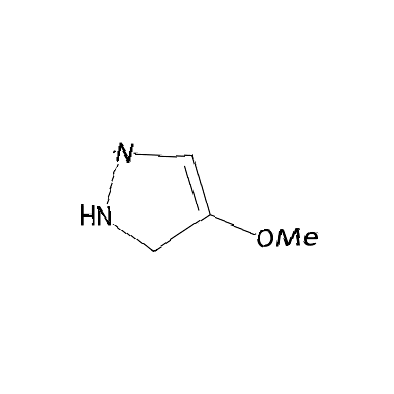 COC1=C[N]NC1